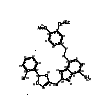 CCOc1cc(CCn2cnc(N)c3nc(SC4=COC(c5ccccc5Br)O4)nc2-3)ccc1OC